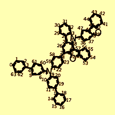 c1ccc(-c2ccc(N(c3ccc(-c4ccccc4)cc3)c3ccc(-c4cc5c6ccccc6n(-c6ccc7oc8ccccc8c7c6)c5c5c4oc4ccccc45)cc3)cc2)cc1